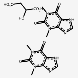 Cn1c(=O)c2[nH]cnc2n(C)c1=O.Cn1c(=O)c2[nH]cnc2n(C)c1=O.O=C(O)CC(O)C(=O)O